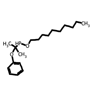 CCCCCCCCCCOPC(C)(C)Oc1ccccc1